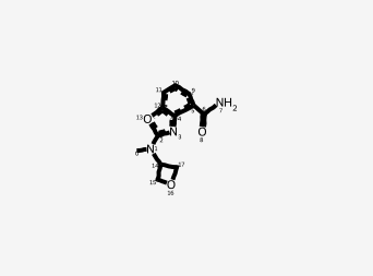 CN(c1nc2c(C(N)=O)[c]ccc2o1)C1COC1